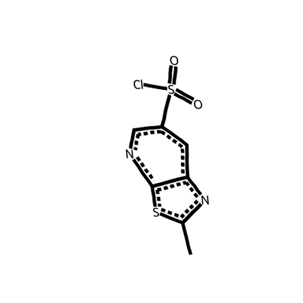 Cc1nc2cc(S(=O)(=O)Cl)cnc2s1